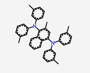 Cc1cccc(N(c2cccc(C)c2)c2cc(C)c(N(c3cccc(C)c3)c3cccc(C)c3)c3ccccc23)c1